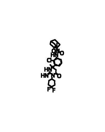 C[C@@]1(c2cccc(NC(=O)C34CC5CC(CC3(O)C5)C4)c2Cl)CC(=O)N(C2CCC(F)(F)CC2)C(=N)N1